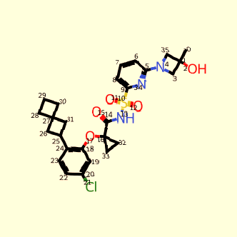 CC1(O)CN(c2cccc(S(=O)(=O)NC(=O)C3(Oc4cc(Cl)ccc4C4CC5(CCC5)C4)CC3)n2)C1